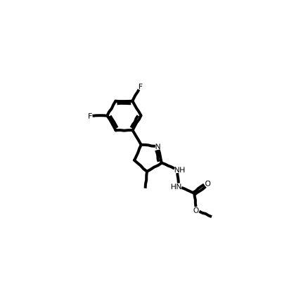 COC(=O)NNC1=NC(c2cc(F)cc(F)c2)CC1C